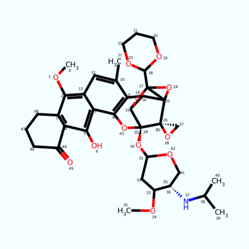 COc1c2c(c(O)c3c4c(c(C)cc13)C1C3OC5(C6OCCCO6)OC15[C@]1(CO1)[C@]3(OC1CC(OC)[C@@H](NC(C)C)CO1)O4)C(=O)CCC2